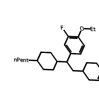 CCCCCC1CCC(C(CC2CC=CCC2)c2ccc(OCC)c(F)c2)CC1